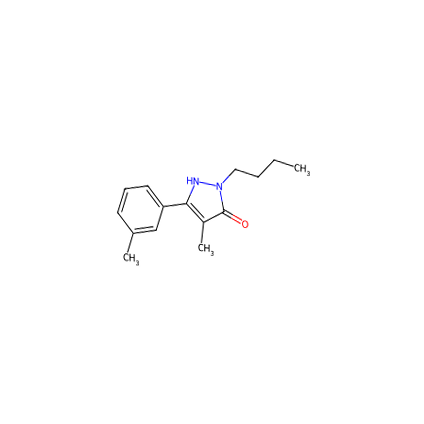 CCCCn1[nH]c(-c2cccc(C)c2)c(C)c1=O